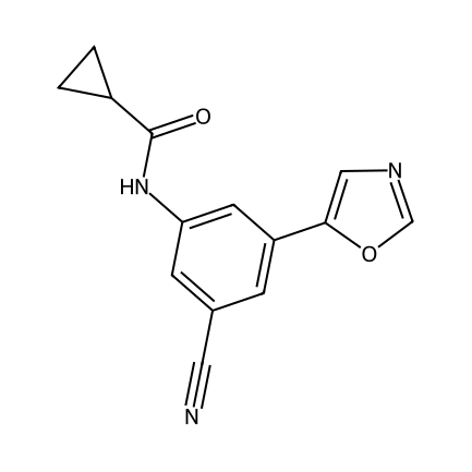 N#Cc1cc(NC(=O)C2CC2)cc(-c2cnco2)c1